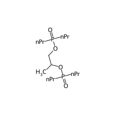 CCCP(=O)(CCC)OCC(C)OP(=O)(CCC)CCC